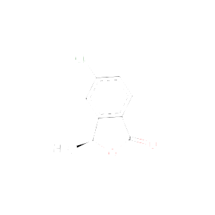 C[C@@H]1OC(=O)c2ccc(Cl)cc21